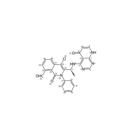 C[C@H](Nc1ncnc2[nH]ccc(=O)c12)c1c(Cl)c2cccc(C=O)c2c(=O)n1-c1ccccc1